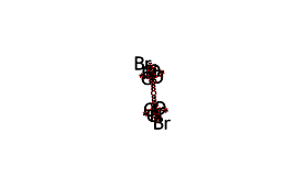 CC(C)c1cc(C(C)Br)cc(C(C)C)c1N1Cc2cc(Oc3ccc(C(C)(C)C)cc3)c3c4ccc5c6c(ccc(c7c(Oc8ccc(C(C)(C)C)cc8)cc(c2c37)C1=O)c64)-c1cc2cc3c(cc2cc1-5)CCc1cc2cc4c(cc2cc1CC3)C1=CC=C2c3c(Oc5ccc(C(C)(C)C)cc5)cc5c6c(cc(Oc7ccc(C(C)(C)C)cc7)c(c36)C3=CC=C4C1C32)C(=O)N(c1c(C(C)C)cc(C(C)Br)cc1C(C)C)C5=O